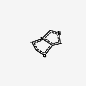 [c]1ncn2[c]coc12